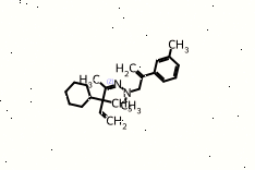 C=CC(C)(/C(C)=N\N(C)CC(=C)c1cccc(C)c1)C1CCCCC1